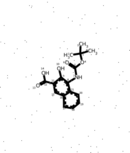 CC(C)(C)OC(=O)Nc1c(O)c(C(=O)O)cc2ccccc12